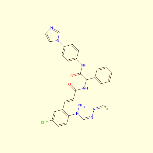 C=N/N=C\N(N)c1ccc(Cl)cc1/C=C/C(=O)NC(C(=O)Nc1ccc(-n2ccnc2)cc1)c1ccccc1